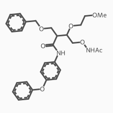 COCCOC(CONC(C)=O)C(COCc1ccccc1)C(=O)Nc1ccc(Oc2ccccc2)cc1